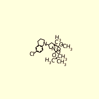 COC(=O)[C@]1(C)CC(N2CCCc3cc(Cl)ccc32)CN1C(=O)OC(C)(C)C